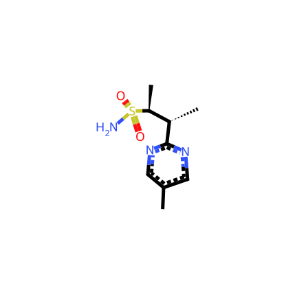 Cc1cnc([C@@H](C)[C@H](C)S(N)(=O)=O)nc1